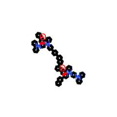 c1ccc(N(c2ccc(-c3ccc(-c4ccc5ccc(-c6cccc7c6oc6c(-c8ccccc8N(c8ccc(-c9ccc%10ccccc%10c9)cc8)c8ccc(-n9c%10ccccc%10c%10ccccc%109)cc8)cccc67)cc5c4)cc3)cc2)c2ccc(-n3c4ccccc4c4ccccc43)cc2)c(-c2cccc3c2oc2ccccc23)c1